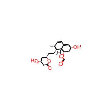 C[C@H]1C=CC2=C[C@@H](O)C[C@H](OC=O)[C@@H]2[C@H]1CC[C@@H]1C[C@@H](O)CC(=O)O1